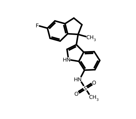 CC1(c2c[nH]c3c(NS(C)(=O)=O)cccc23)CCc2cc(F)ccc21